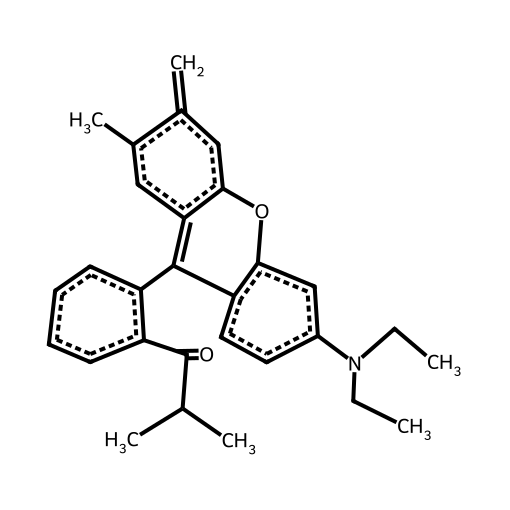 C=c1cc2c(cc1C)=C(c1ccccc1C(=O)C(C)C)c1ccc(N(CC)CC)cc1O2